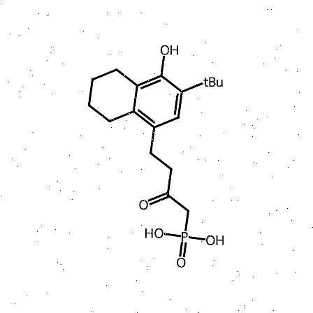 CC(C)(C)c1cc(CCC(=O)CP(=O)(O)O)c2c(c1O)CCCC2